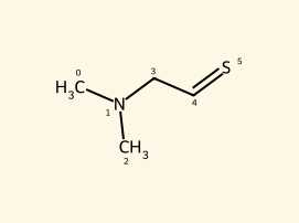 CN(C)CC=S